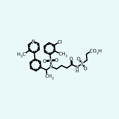 Cc1cnccc1-c1cccc(C(C)N(CCCC(=O)NS(=O)(=O)CCC(=O)O)S(=O)(=O)c2cccc(Cl)c2C)c1